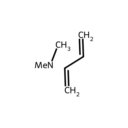 C=CC=C.CNC